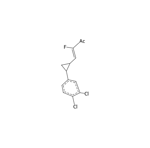 CC(=O)/C(F)=C/C1CC1c1ccc(Cl)c(Cl)c1